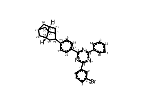 Brc1cccc(-c2nc(-c3ccccc3)nc(-c3ccc(C45C[C@@H]6CC7C[C@@H](C4)C6(C7)C5)cc3)n2)c1